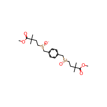 COC(=O)C(C)(C)CC[S+]([O-])Cc1ccc(C[S+]([O-])CCC(C)(C)C(=O)OC)cc1